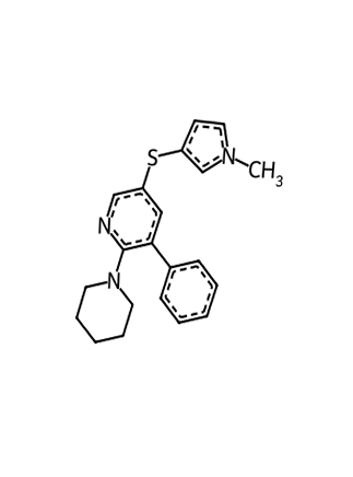 Cn1ccc(Sc2cnc(N3CCCCC3)c(-c3ccccc3)c2)c1